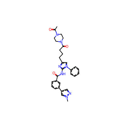 CC(=O)N1CCN(C(=O)CCCc2cn(-c3ccccc3)c(NC(=O)c3cccc(-c4cnn(C)c4)c3)n2)CC1